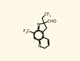 O=CC1(CC(F)(F)F)Cc2c3c(cc(C(F)(F)F)c2=N1)=NCC=C3